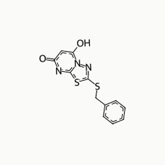 O=c1cc(O)n2nc(SCc3ccccc3)sc2n1